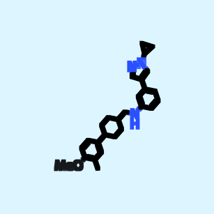 COc1ccc(C2CCC(CNc3cccc(-c4cnn(C5CC5)c4)c3)CC2)cc1C